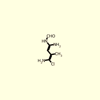 CC(/C=C(\N)NC=O)=C(/N)Cl